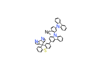 N#Cc1ccc(-n2c3ccccc3c3ccccc32)cc1-n1c2ccccc2c2cc(-c3ccc4c(c3)C3(c5ccccc5S4)c4cccnc4-c4ncccc43)ccc21